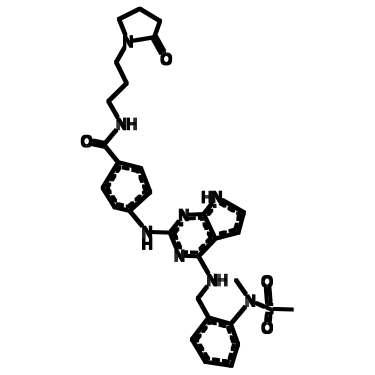 CN(c1ccccc1CNc1nc(Nc2ccc(C(=O)NCCCN3CCCC3=O)cc2)nc2[nH]ccc12)S(C)(=O)=O